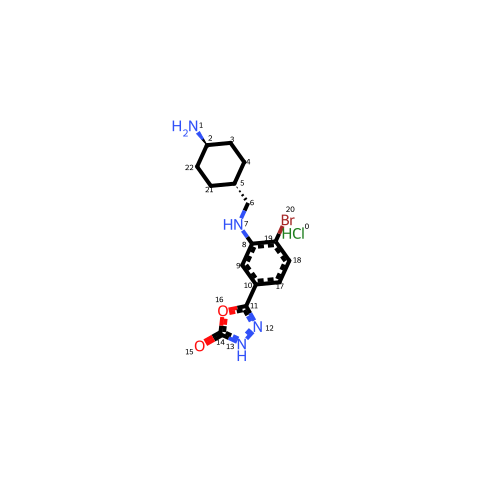 Cl.N[C@H]1CC[C@H](CNc2cc(-c3n[nH]c(=O)o3)ccc2Br)CC1